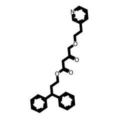 O=C(COCCc1cccnc1)CC(=O)OCCC(c1ccccc1)c1ccccc1